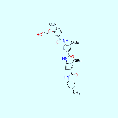 CC(C)COc1cc(C(=O)Nc2ccc(C(=O)N[C@H]3CC[C@H](C)CC3)cc2OCC(C)C)ccc1NC(=O)c1ccc([N+](=O)[O-])c(OCCO)c1